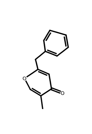 Cc1coc(Cc2ccccc2)cc1=O